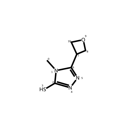 Cn1c(S)nnc1C1COC1